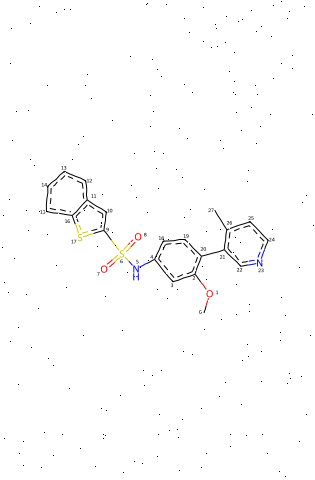 COc1cc(NS(=O)(=O)c2cc3ccccc3s2)ccc1-c1cnccc1C